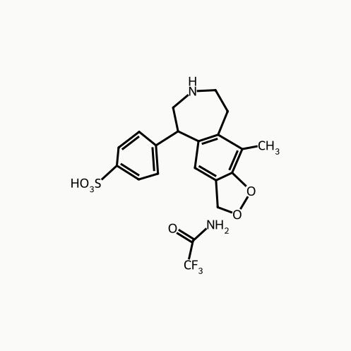 Cc1c2c(cc3c1OOC3)C(c1ccc(S(=O)(=O)O)cc1)CNCC2.NC(=O)C(F)(F)F